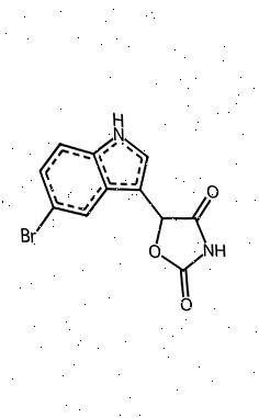 O=C1NC(=O)C(c2c[nH]c3ccc(Br)cc23)O1